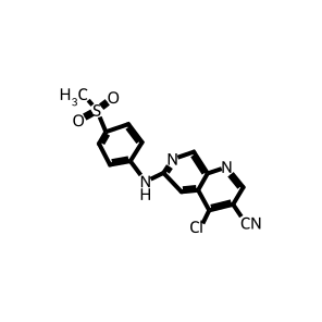 CS(=O)(=O)c1ccc(Nc2cc3c(Cl)c(C#N)cnc3cn2)cc1